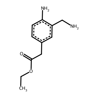 CCOC(=O)Cc1ccc(N)c(CN)c1